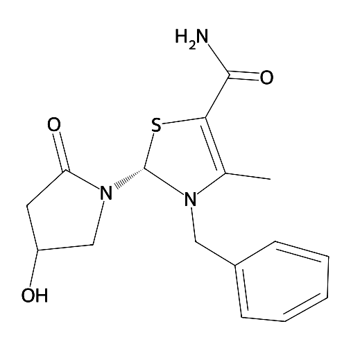 CC1=C(C(N)=O)S[C@@H](N2CC(O)CC2=O)N1Cc1ccccc1